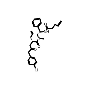 C=CCCC(=O)N[C@H](CN(C)C(=O)[C@@H](CC=C)CC(=O)Cc1ccc(Cl)cc1)c1ccccc1